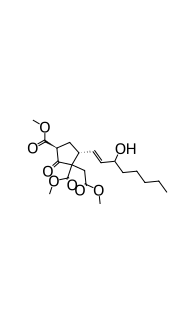 CCCCCC(O)C=C[C@H]1C[C@H](C(=O)OC)C(=O)C1(CC(=O)OC)C(=O)OC